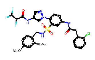 COc1ccc(CNS(=O)(=O)c2cc(NC(=O)Cc3ccccc3Cl)ccc2-n2cc(NC(=O)C(F)C(F)F)cn2)c(OC)c1